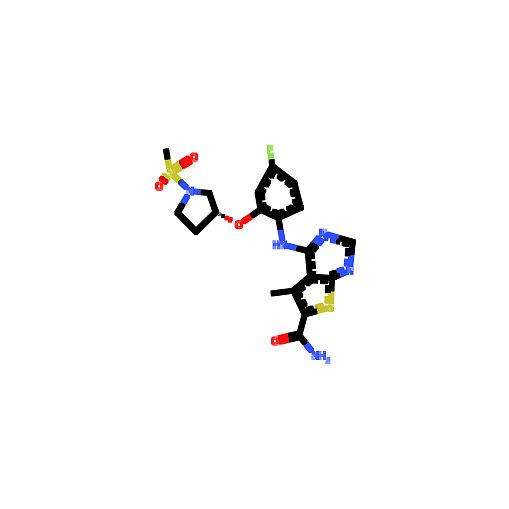 Cc1c(C(N)=O)sc2ncnc(Nc3ccc(F)cc3O[C@@H]3CCN(S(C)(=O)=O)C3)c12